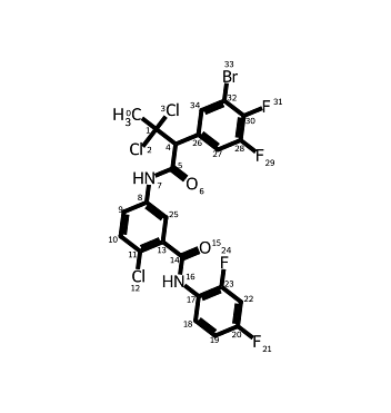 CC(Cl)(Cl)C(C(=O)Nc1ccc(Cl)c(C(=O)Nc2ccc(F)cc2F)c1)c1cc(F)c(F)c(Br)c1